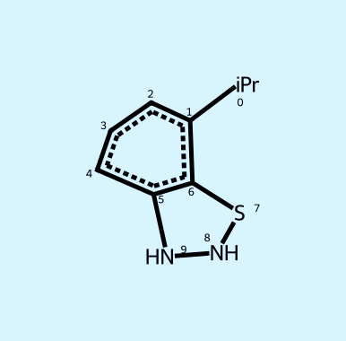 CC(C)c1cccc2c1SNN2